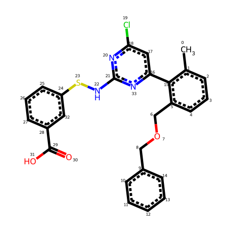 Cc1cccc(COCc2ccccc2)c1-c1cc(Cl)nc(NSc2cccc(C(=O)O)c2)n1